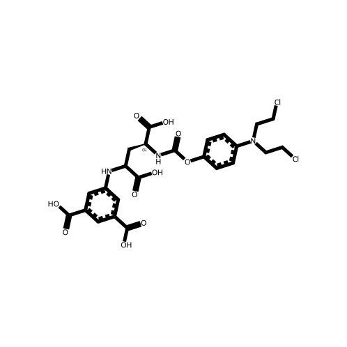 O=C(N[C@@H](CC(Nc1cc(C(=O)O)cc(C(=O)O)c1)C(=O)O)C(=O)O)Oc1ccc(N(CCCl)CCCl)cc1